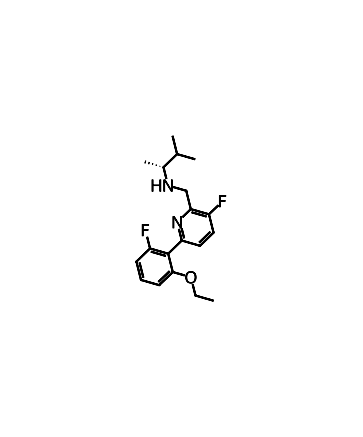 CCOc1cccc(F)c1-c1ccc(F)c(CN[C@H](C)C(C)C)n1